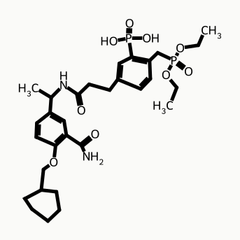 CCOP(=O)(Cc1ccc(CCC(=O)NC(C)c2ccc(OCC3CCCCC3)c(C(N)=O)c2)cc1P(=O)(O)O)OCC